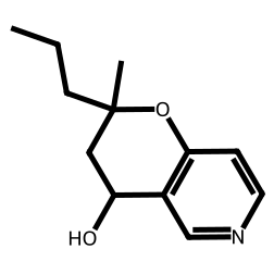 CCCC1(C)CC(O)c2cnccc2O1